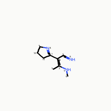 CN/C(C)=C(\C=N)C1=NCCC1